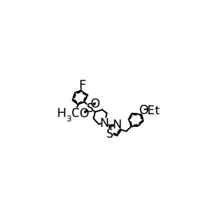 CCOc1ccc(Cc2csc(N3CCC(S(=O)(=O)c4cc(F)ccc4C)CC3)n2)cc1